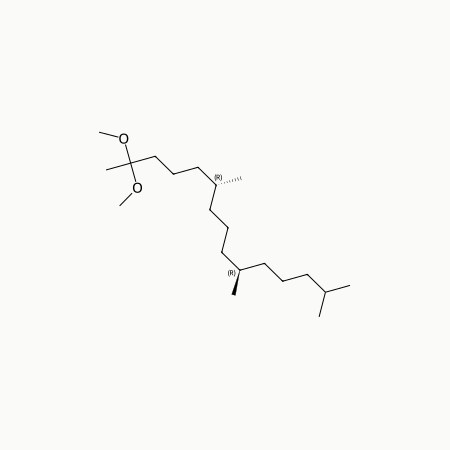 COC(C)(CCC[C@H](C)CCC[C@H](C)CCCC(C)C)OC